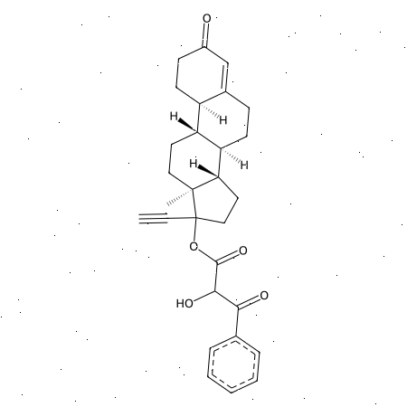 C#CC1(OC(=O)C(O)C(=O)c2ccccc2)CC[C@H]2[C@@H]3CCC4=CC(=O)CC[C@@H]4[C@H]3CC[C@@]21C